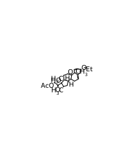 CCOC1=CC2=CC[C@H]3[C@@H]4CC(C)[C@](O)(C(=O)COC(C)=O)[C@@]4(C)CC4O[C@]43[C@@]2(C)C=C1